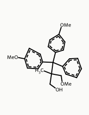 COCC(C)(CO)C(c1ccccc1)(c1ccc(OC)cc1)c1ccc(OC)cc1